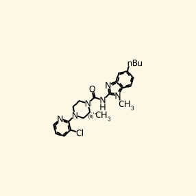 CCCCc1ccc2c(c1)nc(NC(=O)N1CCN(c3ncccc3Cl)C[C@H]1C)n2C